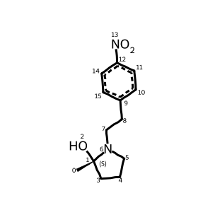 C[C@]1(O)CCCN1CCc1ccc([N+](=O)[O-])cc1